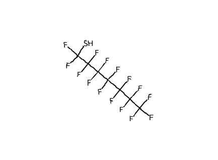 FC(F)(F)C(F)(F)C(F)(F)C(F)(F)C(F)(F)C(F)(F)C(F)(F)S